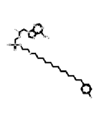 C[C@H](Cn1cnc2c(N)ncnc21)OCP(=O)(O)OCCSCCCCCCCCCCCCCc1ccc(F)cc1